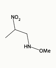 CONCC(C)[N+](=O)[O-]